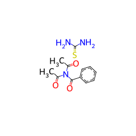 CC(=O)N(C(C)=O)C(=O)c1ccccc1.NC(N)=S